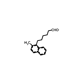 Cc1ccc2ccccc2c1CCCCC[C]=O